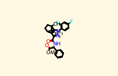 COC(=O)[C@H](NC(=O)c1nn(-c2ccc(F)cc2F)c2c1C1CCC2(C)C1(C)C)c1ccccc1